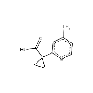 Cc1ccnc(C2(C(=O)O)CC2)c1